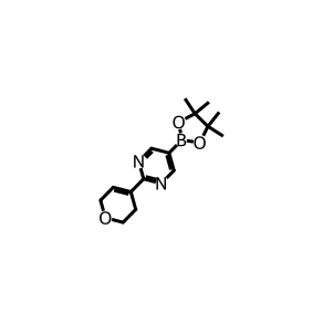 CC1(C)OB(c2cnc(C3=CCOCC3)nc2)OC1(C)C